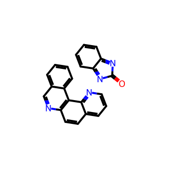 O=C1N=c2ccccc2=N1.c1ccc2c(c1)cnc1ccc3cccnc3c12